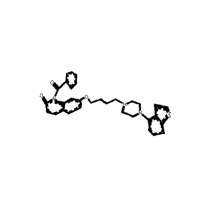 O=C(c1ccccc1)n1c(=O)ccc2ccc(OCCCCN3CCN(c4cccc5sccc45)CC3)cc21